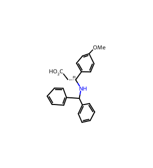 COc1ccc([C@@H](CC(=O)O)NC(c2ccccc2)c2ccccc2)cc1